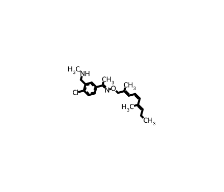 CC/C=C(C)/C=C\C=C(/C)CO/N=C(\C)c1ccc(Cl)c(CNC)c1